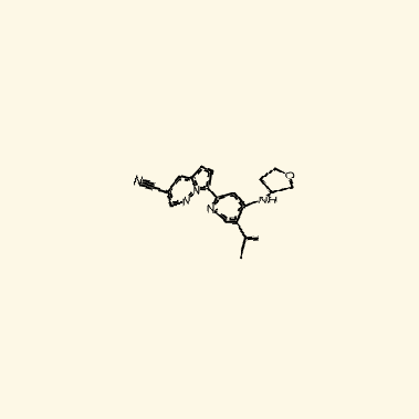 CC(C)c1cnc(-c2ccc3cc(C#N)cnn23)cc1N[C@H]1CCOC1